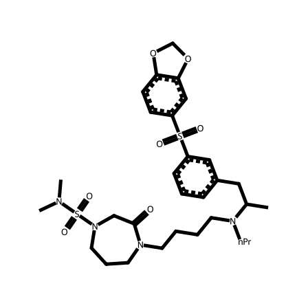 CCCN(CCCCN1CCCN(S(=O)(=O)N(C)C)CC1=O)C(C)Cc1cccc(S(=O)(=O)c2ccc3c(c2)OCO3)c1